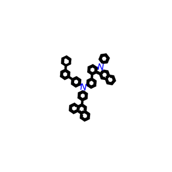 C1=CCC(c2cccc(-c3ccc(N(c4ccc(-c5cc6ccccc6c6ccccc56)cc4)c4cccc(-c5cccc6c5c5cc7ccccc7cc5n6-c5ccccc5)c4)cc3)c2)C=C1